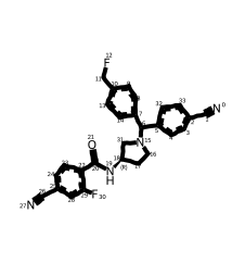 N#Cc1ccc(C(c2ccc(CF)cc2)N2CC[C@@H](NC(=O)c3ccc(C#N)cc3F)C2)cc1